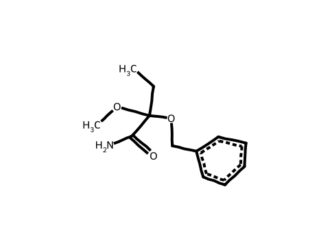 CCC(OC)(OCc1ccccc1)C(N)=O